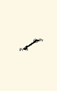 CC(C)CCOC(=O)CCCCCCCCCCC(C)CC(=O)OCCC(C)C